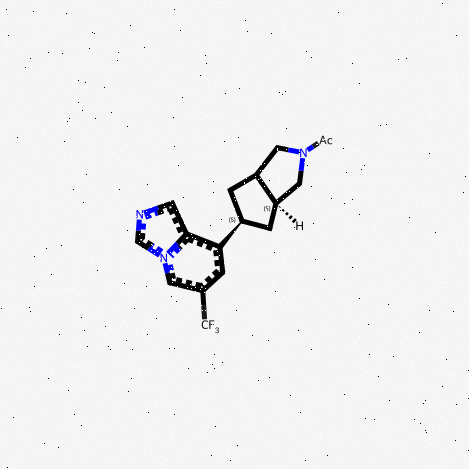 CC(=O)N1CC2C[C@H](c3cc(C(F)(F)F)cn4cncc34)C[C@@H]2C1